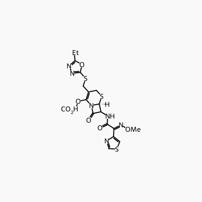 CCc1nnc(SCC2=C(OC(=O)O)N3C(=O)C(NC(=O)C(=NOC)c4cscn4)[C@@H]3SC2)o1